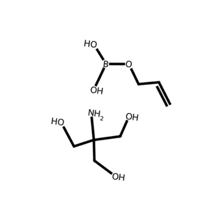 C=CCOB(O)O.NC(CO)(CO)CO